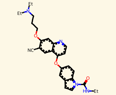 CCNC(=O)n1ccc2cc(Oc3ccnc4cc(OCCCN(CC)CC)c(C#N)cc34)ccc21